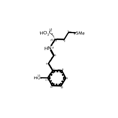 CSCC[C@H](NCCc1ccccc1O)C(=O)O